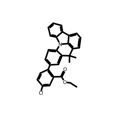 CCOC(=O)c1cc(Cl)ccc1-c1ccc2c(c1)C(C)(C)c1cccc3c4ccccc4n-2c13